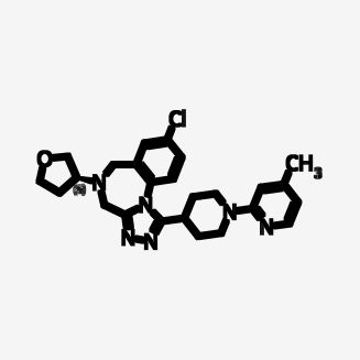 Cc1ccnc(N2CCC(c3nnc4n3-c3ccc(Cl)cc3CN([C@H]3CCOC3)C4)CC2)c1